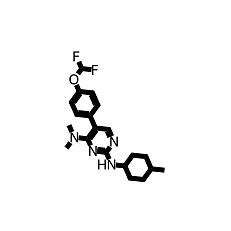 CC1CCC(Nc2ncc(-c3ccc(OC(F)F)cc3)c(N(C)C)n2)CC1